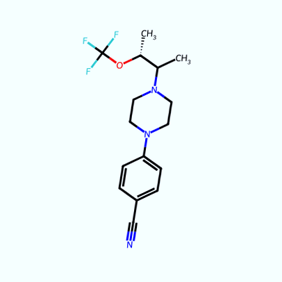 CC([C@@H](C)OC(F)(F)F)N1CCN(c2ccc(C#N)cc2)CC1